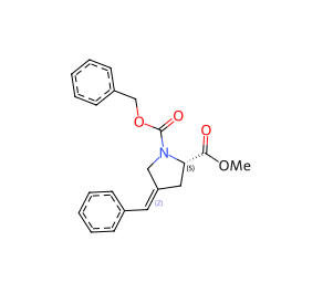 COC(=O)[C@@H]1C/C(=C/c2ccccc2)CN1C(=O)OCc1ccccc1